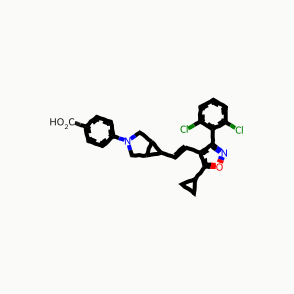 O=C(O)c1ccc(N2CC3C(C=Cc4c(-c5c(Cl)cccc5Cl)noc4C4CC4)C3C2)cc1